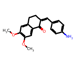 COc1cc2c(cc1OC)C(=O)C(=Cc1ccc(N)cc1)CC2